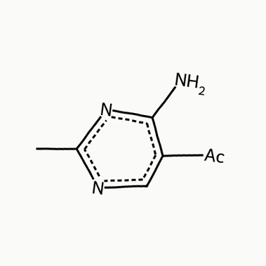 CC(=O)c1cnc(C)nc1N